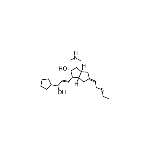 CCSCC=C1C[C@H]2C[C@@H](O)[C@H](C=C[C@@H](O)C3CCCC3)[C@H]2C1.CNC